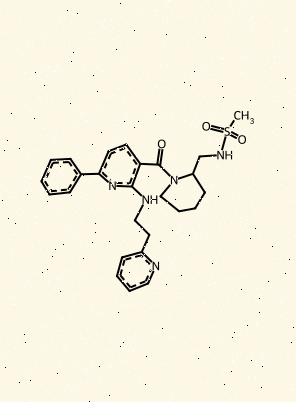 CS(=O)(=O)NCC1CCCCN1C(=O)c1ccc(-c2ccccc2)nc1NCCc1ccccn1